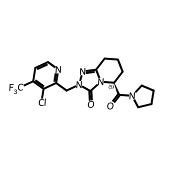 O=C([C@@H]1CCCc2nn(Cc3nccc(C(F)(F)F)c3Cl)c(=O)n21)N1CCCC1